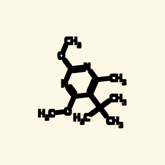 COc1nc(C)c(C(C)(C)C)c(OC)n1